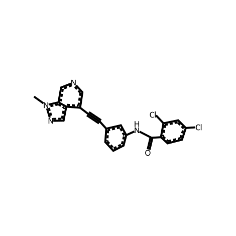 Cn1ncc2c(C#Cc3cccc(NC(=O)c4ccc(Cl)cc4Cl)c3)cncc21